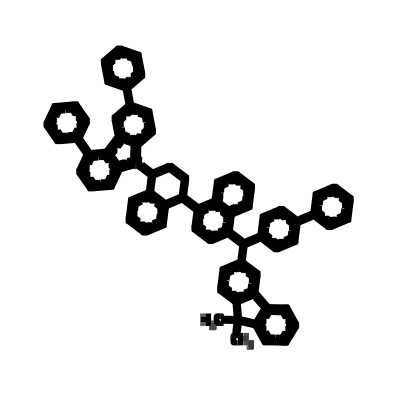 CC1(C)c2ccccc2-c2cc(C(c3ccc(-c4ccccc4)cc3)c3ccc(C4CCC(n5c6ccc(-c7ccccc7)cc6c6c(-c7ccccc7)cccc65)c5ccccc54)c4ccccc34)ccc21